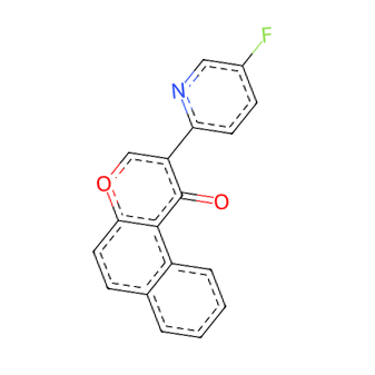 O=c1c(-c2ccc(F)cn2)coc2ccc3ccccc3c12